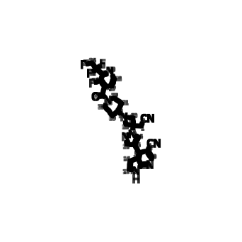 N#CCC1(n2cc(-c3c(C#N)cnc4[nH]ccc34)cn2)CN(C2CCN(C(=O)c3ccnc(C(F)(F)CF)c3F)CC2)C1